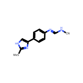 CSc1nc(-c2ccc(N=CNC#N)cc2)c[nH]1